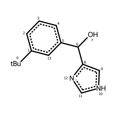 CC(C)(C)c1cccc(C(O)c2c[nH]cn2)c1